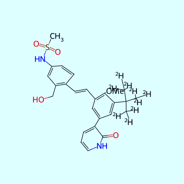 [2H]C([2H])([2H])C(c1cc(-c2ccc[nH]c2=O)cc(/C=C/c2ccc(NS(C)(=O)=O)cc2CO)c1OC)(C([2H])([2H])[2H])C([2H])([2H])[2H]